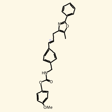 COc1ccc(OC(=O)NCc2ccc(/C=C/Cc3nc(-c4ccccc4)oc3C)cc2)cc1